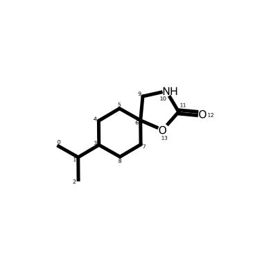 CC(C)C1CCC2(CC1)CNC(=O)O2